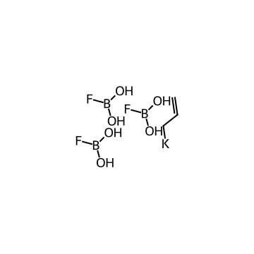 C=C[CH2][K].OB(O)F.OB(O)F.OB(O)F